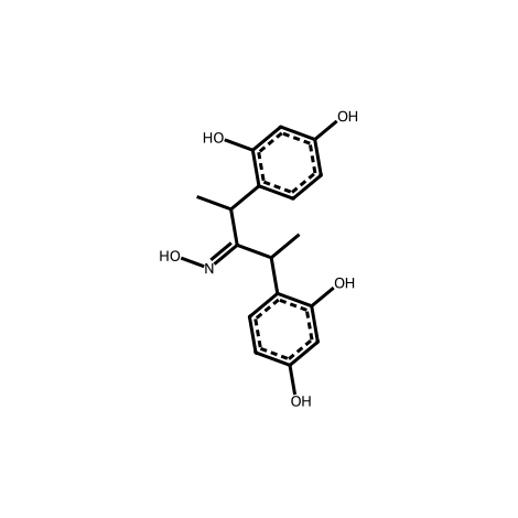 CC(C(=NO)C(C)c1ccc(O)cc1O)c1ccc(O)cc1O